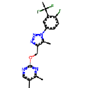 Cc1cnc(OCc2nnn(-c3ccc(F)c(C(C)(F)F)c3)c2C)nc1C